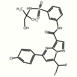 CC(C)(CO)NS(=O)(=O)c1cccc(NC(=O)c2cnn3c(C(F)F)cc(-c4ccc(Cl)cc4)nc23)c1